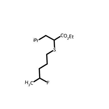 CCOC(=O)C(CC(C)C)SCCCC(C)F